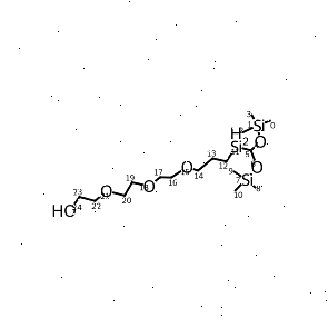 C[Si](C)(C)OC(O[Si](C)(C)C)[SiH2]CCCOCCOCCOCCO